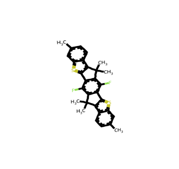 Cc1ccc2c3c(sc2c1)-c1c(F)c2c(c(F)c1C3(C)C)-c1sc3cc(C)ccc3c1C2(C)C